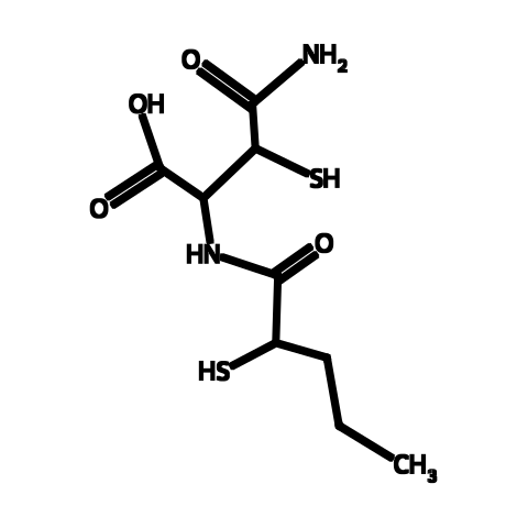 CCCC(S)C(=O)NC(C(=O)O)C(S)C(N)=O